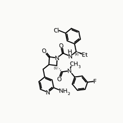 CC[C@@H](NC(=O)N1C(=O)C(Cc2ccnc(N)c2)[C@H]1C(=O)N(C)c1cccc(F)c1)c1cccc(Cl)c1